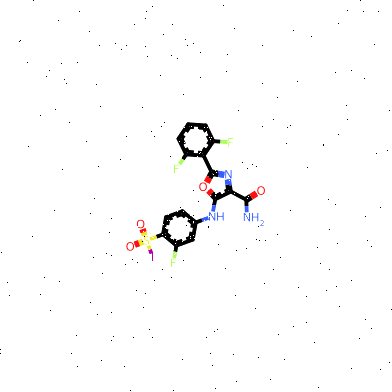 NC(=O)c1nc(-c2c(F)cccc2F)oc1Nc1ccc(S(=O)(=O)I)c(F)c1